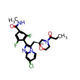 CCC(=O)N1CCO[C@@H](Cc2c(-c3c(F)cc(C(=O)NC)cc3F)nc3cc(Cl)ccn23)C1